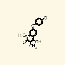 Cc1c(O)c2ccc(Oc3ccc(Cl)cc3)cc2n(C)c1=O